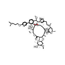 CC[C@H]1OC(=O)[C@H](C)[C@@H](O[C@H]2C[C@@](C)(OC)[C@@H](O)[C@H](C)O2)[C@H](C)[C@@H](O[C@@H]2O[C@H](C)C[C@H](N(C)CCc3cn([C@H](CF)[C@H](OC)c4ccc(-c5ccc(OCCCN(C)C)nc5)cc4)nn3)[C@H]2O)[C@](C)(O)C[C@@H](C)CN(C)[C@H](C)[C@@H](O)[C@]1(C)O